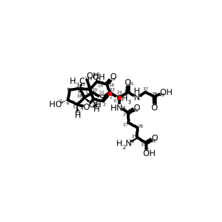 CC1=C[C@H]2O[C@@H]3[C@H](O)C[C@](C)(C2(CO)[C@H](O)C1=O)[C@]3(O)CSC[C@H](NC(=O)CC[C@H](N)C(=O)O)C(=O)NCC(=O)O